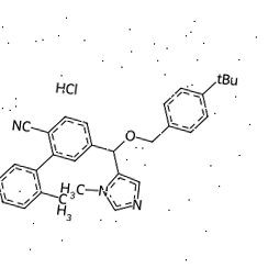 Cc1ccccc1-c1cc(C(OCc2ccc(C(C)(C)C)cc2)c2cncn2C)ccc1C#N.Cl